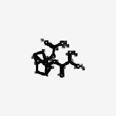 C=C(C)C(=O)OC1C2CC3C1CC3(OC(C)=O)C2